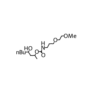 CCCCC(O)CC(C)OC(=O)NCCCOCCOC